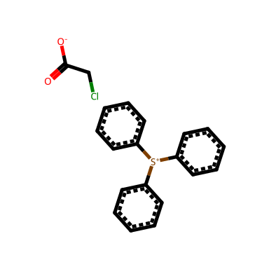 O=C([O-])CCl.c1ccc([S+](c2ccccc2)c2ccccc2)cc1